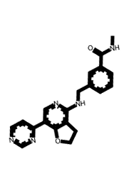 CNC(=O)c1cccc(CNc2ncc(-c3ccncn3)c3c2CCO3)c1